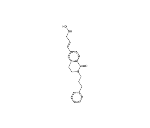 O=C1c2ccc(C=CCNO)cc2CCN1CCCc1ccccc1